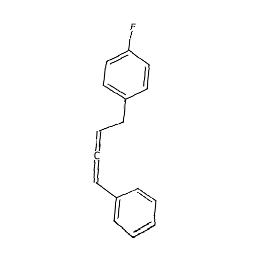 Fc1ccc(CC=C=Cc2ccccc2)cc1